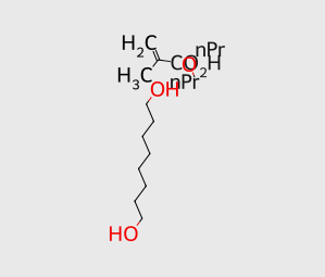 C=C(C)C(=O)O.CCCOCCC.OCCCCCCCCO